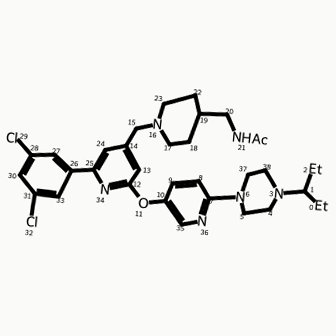 CCC(CC)N1CCN(c2ccc(Oc3cc(CN4CCC(CNC(C)=O)CC4)cc(-c4cc(Cl)cc(Cl)c4)n3)cn2)CC1